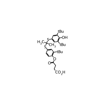 CC(C)(Sc1ccc(OC(=O)CCC(=O)O)c(C(C)(C)C)c1)Sc1cc(C(C)(C)C)c(O)c(C(C)(C)C)c1